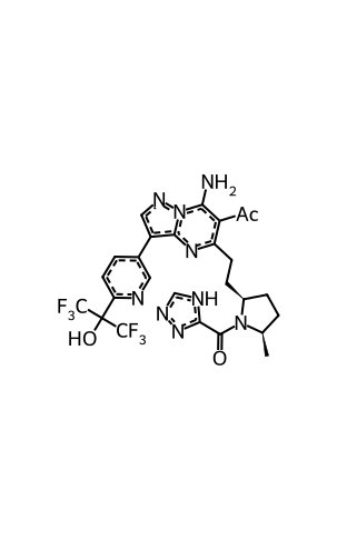 CC(=O)c1c(CC[C@H]2CC[C@@H](C)N2C(=O)c2nnc[nH]2)nc2c(-c3ccc(C(O)(C(F)(F)F)C(F)(F)F)nc3)cnn2c1N